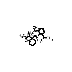 C=C(C)CC1(C(C)=Nc2c(C(C)C)cccc2C(C)C)CCCCC1